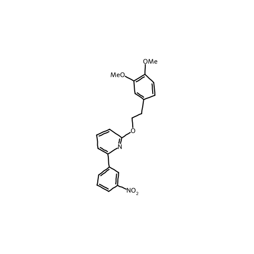 COc1ccc(CCOc2cccc(-c3cccc([N+](=O)[O-])c3)n2)cc1OC